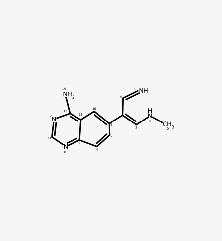 CN/C=C(\C=N)c1ccc2ncnc(N)c2c1